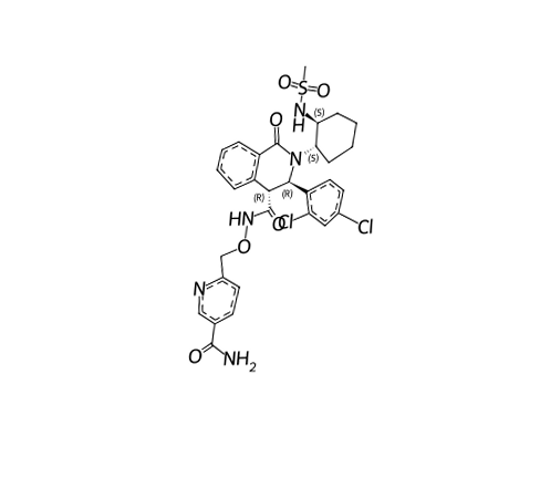 CS(=O)(=O)N[C@H]1CCCC[C@@H]1N1C(=O)c2ccccc2[C@@H](C(=O)NOCc2ccc(C(N)=O)cn2)[C@@H]1c1ccc(Cl)cc1Cl